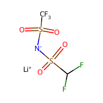 O=S(=O)([N-]S(=O)(=O)C(F)(F)F)C(F)F.[Li+]